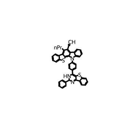 C#Cc1c(CCC)c2c3ccccc3sc2c2c1c1ccccc1n2-c1ccc(C2=c3sc4ccccc4c3=NC(c3ccccc3)N2)cc1